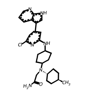 C[C@H]1CC[C@H](N(CC(N)=O)C2CCC(Nc3cc(-c4c[nH]c5ncccc45)cc(Cl)n3)CC2)CC1